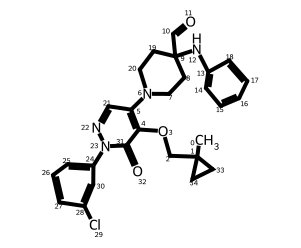 CC1(COc2c(N3CCC(C=O)(Nc4ccccc4)CC3)cnn(-c3cccc(Cl)c3)c2=O)CC1